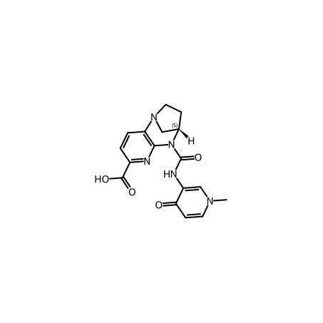 Cn1ccc(=O)c(NC(=O)N2c3nc(C(=O)O)ccc3N3CC[C@H]2C3)c1